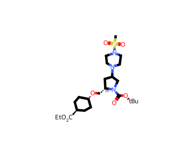 CCOC(=O)[C@H]1CC[C@H](OC[C@@H]2CC(N3CCN(S(C)(=O)=O)CC3)CN2C(=O)OC(C)(C)C)CC1